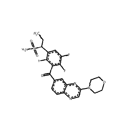 CCC(c1cc(F)c(F)c(C(=O)c2ccc3ncc(N4CCOCC4)nc3c2)c1F)S(N)(=O)=O